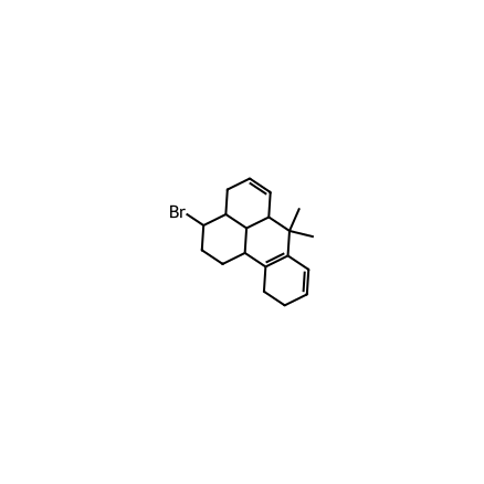 CC1(C)C2=C(CCC=C2)C2CCC(Br)C3CC=CC1C23